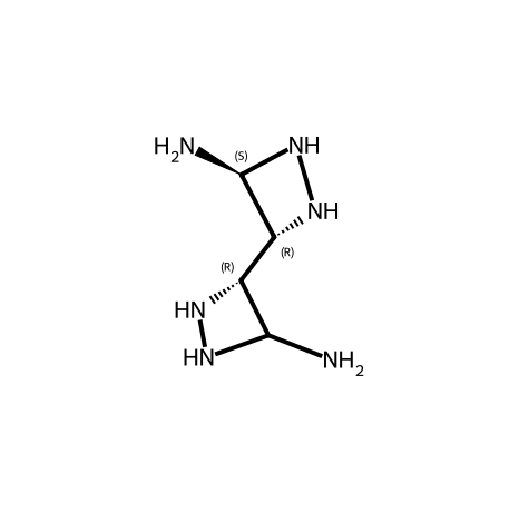 NC1NN[C@@H]1[C@H]1NN[C@@H]1N